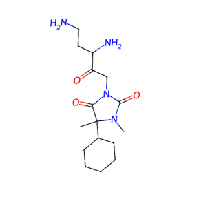 CN1C(=O)N(CC(=O)C(N)CCN)C(=O)C1(C)C1CCCCC1